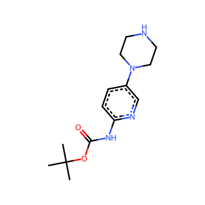 CC(C)(C)OC(=O)Nc1ccc(N2CCNCC2)cn1